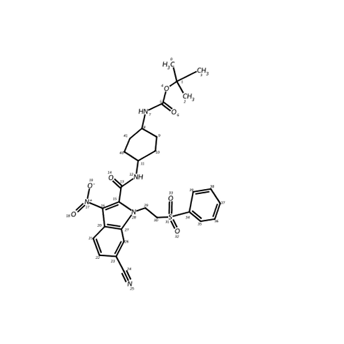 CC(C)(C)OC(=O)NC1CCC(NC(=O)c2c([N+](=O)[O-])c3ccc(C#N)cc3n2CCS(=O)(=O)c2ccccc2)CC1